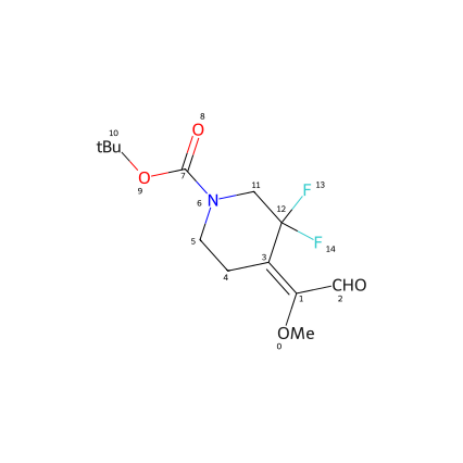 COC(C=O)=C1CCN(C(=O)OC(C)(C)C)CC1(F)F